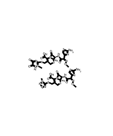 CO/N=C(\C(=O)N[C@@H]1C(=O)N2C(C(=O)O)=C(CSc3nc(=O)c(=O)[nH]n3C)CS[C@H]12)c1csc(N)n1.CO/N=C(\C(=O)N[C@@H]1C(=O)N2C(C(=O)O)=C(CSc3nnnn3C)CS[C@H]12)c1csc(N)n1